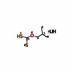 CC(C)COC(=S)S.[LiH]